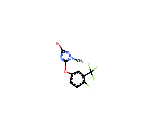 Cn1nc(Br)nc1Oc1ccc(F)c(C(F)(F)F)c1